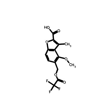 COc1c(COC(=O)C(F)(F)F)ccc2oc(C(=O)O)c(C)c12